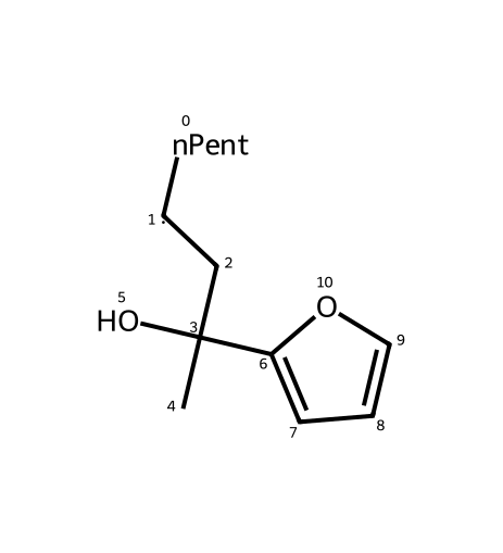 CCCCC[CH]CC(C)(O)c1ccco1